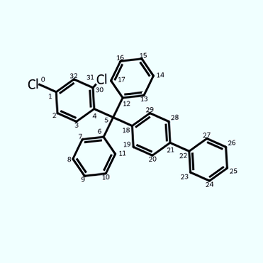 Clc1ccc(C(c2ccccc2)(c2ccccc2)c2ccc(-c3ccccc3)cc2)c(Cl)c1